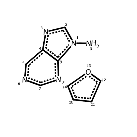 Nn1cnc2cncnc21.c1ccoc1